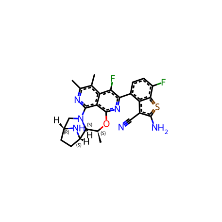 Cc1nc2c3c(nc(-c4ccc(F)c5sc(N)c(C#N)c45)c(F)c3c1C)O[C@@H](C)[C@@H]1[C@@H]3CC[C@H](CN21)N3